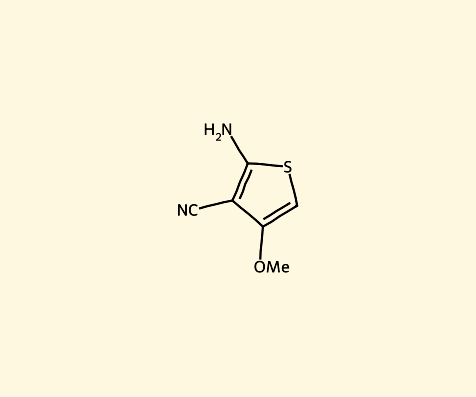 COc1csc(N)c1C#N